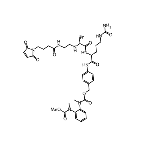 COC(=O)N(C)c1ccccc1N(C)C(=O)OCc1ccc(NC(=O)[C@H](CCCNC(N)=O)NC(=O)[C@@H](NCCNC(=O)CCCN2C(=O)C=CC2=O)C(C)C)cc1